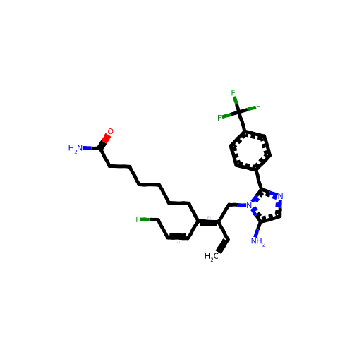 C=C/C(Cn1c(N)cnc1-c1ccc(C(F)(F)F)cc1)=C(\C=C/CF)CCCCCCC(N)=O